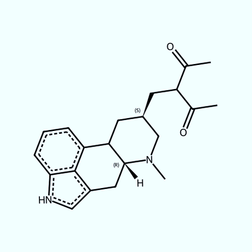 CC(=O)C(C[C@@H]1CC2c3cccc4[nH]cc(c34)C[C@H]2N(C)C1)C(C)=O